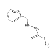 CSC(=S)NNCc1ccccn1